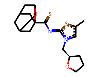 Cc1cn(C[C@H]2CCCO2)/c(=N/C(=S)C23CC4CC(CC(C4)O2)C3)s1